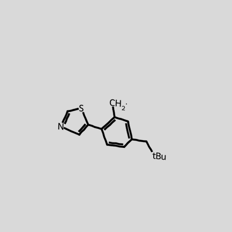 [CH2]c1cc(CC(C)(C)C)ccc1-c1cncs1